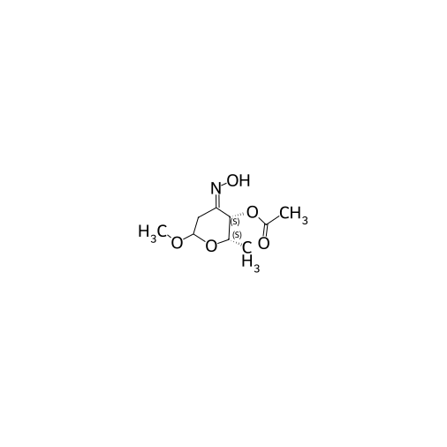 COC1CC(=NO)[C@H](OC(C)=O)[C@H](C)O1